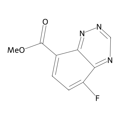 COC(=O)c1ccc(F)c2ncnnc12